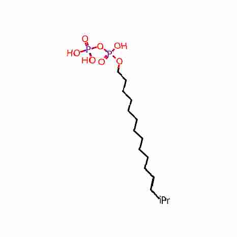 CC(C)CCCCCCCCCCCCCOP(=O)(O)OP(=O)(O)O